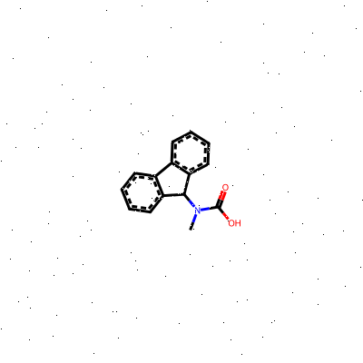 CN(C(=O)O)C1c2ccccc2-c2ccccc21